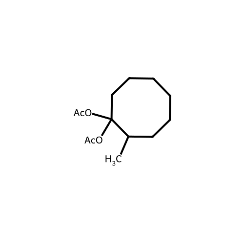 CC(=O)OC1(OC(C)=O)CCCCCCC1C